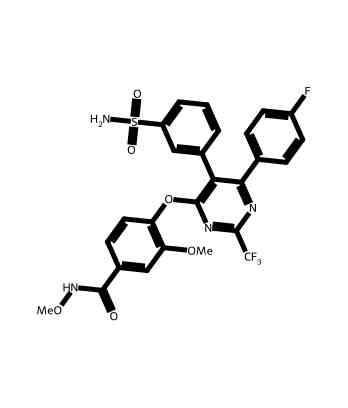 CONC(=O)c1ccc(Oc2nc(C(F)(F)F)nc(-c3ccc(F)cc3)c2-c2cccc(S(N)(=O)=O)c2)c(OC)c1